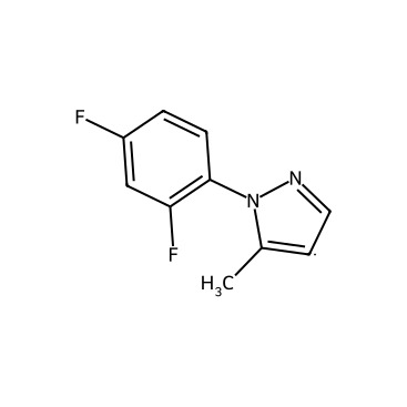 Cc1[c]cnn1-c1ccc(F)cc1F